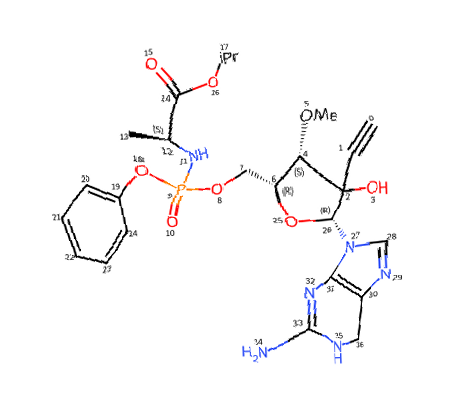 C#CC1(O)[C@@H](OC)[C@@H](COP(=O)(N[C@@H](C)C(=O)OC(C)C)Oc2ccccc2)O[C@H]1n1cnc2c1N=C(N)NC2